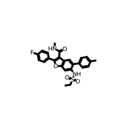 CCS(=O)(=O)Nc1cc2oc(-c3ccc(F)cc3)c(C(=O)NC)c2cc1-c1ccc(C)cc1